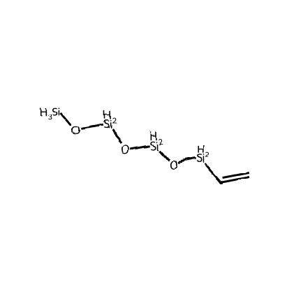 C=C[SiH2]O[SiH2]O[SiH2]O[SiH3]